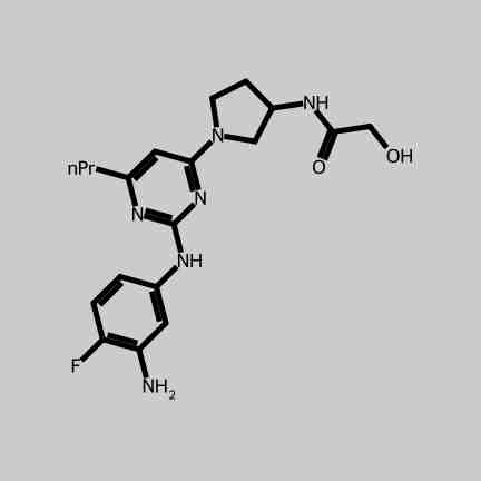 CCCc1cc(N2CCC(NC(=O)CO)C2)nc(Nc2ccc(F)c(N)c2)n1